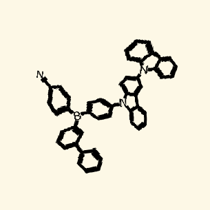 N#Cc1ccc(B(c2ccc(-n3c4ccccc4c4cc(-n5c6ccccc6c6ccccc65)ccc43)cc2)c2cccc(-c3ccccc3)c2)cc1